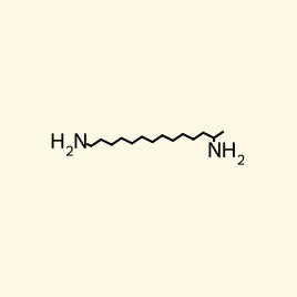 CC(N)CCCCCCCCCCCCN